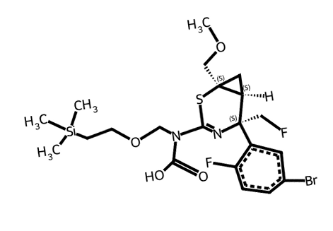 COC[C@]12C[C@H]1[C@@](CF)(c1cc(Br)ccc1F)N=C(N(COCC[Si](C)(C)C)C(=O)O)S2